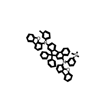 Cc1cccc(N(c2ccc3c(c2)C(c2ccccc2)(c2ccccc2)c2cc(N(c4cccc([Si](C)(C)C)c4)c4cccc5c4oc4ccccc45)c4ccccc4c2-3)c2cccc3c2oc2ccccc23)c1